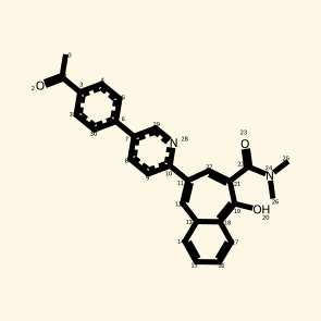 CC(=O)c1ccc(-c2ccc(C3=CC4C=CC=CC4=C(O)C(C(=O)N(C)C)=C3)nc2)cc1